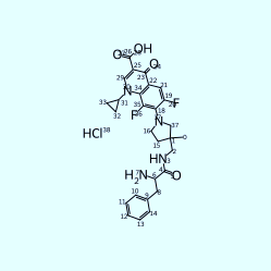 CC1(CNC(=O)C(N)Cc2ccccc2)CCN(c2c(F)cc3c(=O)c(C(=O)O)cn(C4CC4)c3c2F)C1.Cl